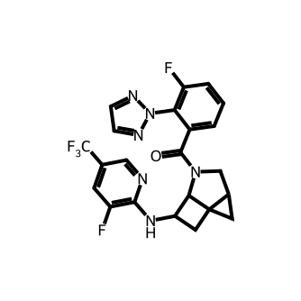 O=C(c1cccc(F)c1-n1nccn1)N1CC2CC23CC(Nc2ncc(C(F)(F)F)cc2F)C13